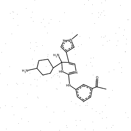 CC(=O)c1cccc(NC2=NC=C(c3cnn(C)c3)C(N)(C3CCC(N)CC3)N2)c1